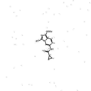 CNc1nc(C(C)C)n2cc(NC(=O)C3CC3)ncc12